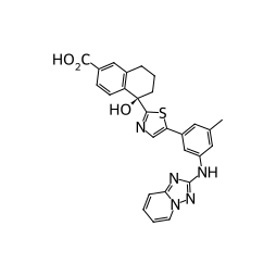 Cc1cc(Nc2nc3ccccn3n2)cc(-c2cnc([C@@]3(O)CCCc4cc(C(=O)O)ccc43)s2)c1